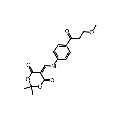 COCCC(=O)c1ccc(NC=C2C(=O)OC(C)(C)OC2=O)cc1